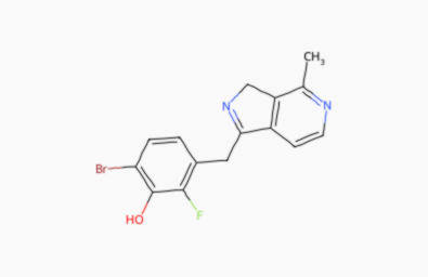 Cc1nccc2c1CN=C2Cc1ccc(Br)c(O)c1F